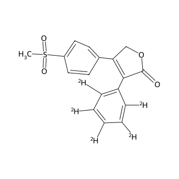 [2H]c1c([2H])c([2H])c(C2=C(c3ccc(S(C)(=O)=O)cc3)COC2=O)c([2H])c1[2H]